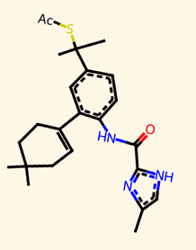 CC(=O)SC(C)(C)c1ccc(NC(=O)c2nc(C)c[nH]2)c(C2=CCC(C)(C)CC2)c1